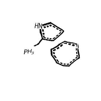 Cc1ccc[nH]1.P.c1ccncc1